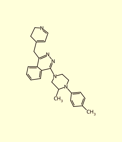 Cc1ccc(N2CCN(c3nnc(CC4=CC=NCC4)c4ccccc34)CC2C)cc1